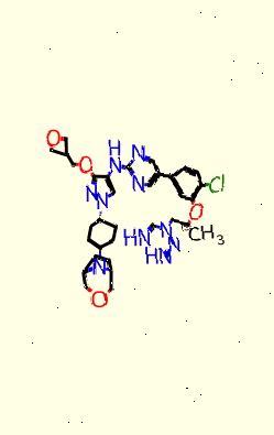 C[C@@H](CN(C=N)N=N)Oc1cc(-c2cnc(Nc3cn([C@H]4CC[C@H](N5C6CCC5COC6)CC4)nc3OCC3COC3)nc2)ccc1Cl